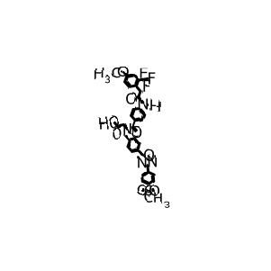 COc1ccc(CC(=O)Nc2ccc(C(=O)N(CC(=O)O)Cc3ccc(-c4nc(-c5ccc(S(C)(=O)=O)cc5)no4)cc3)cc2)c(C(F)(F)F)c1